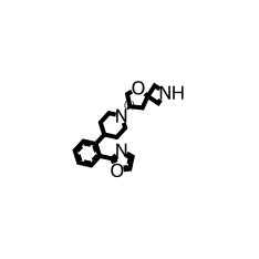 c1ccc(C2CCN([C@@H]3COC4(CNC4)C3)CC2)c(-c2ncco2)c1